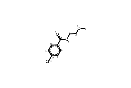 COCCOC(=O)c1ccc(Cl)cc1